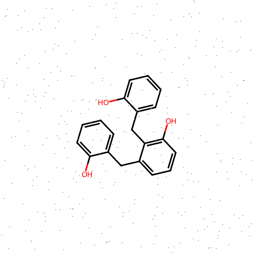 Oc1ccccc1Cc1cccc(O)c1Cc1ccccc1O